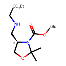 CCOC(=O)CNC[C@@H]1COC(C)(C)N1C(=O)OC(C)(C)C